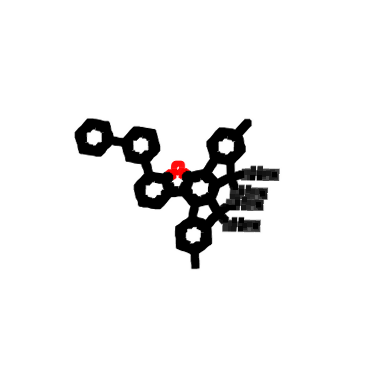 CCCCCCC1(CCCCCC)c2cc(C)ccc2-c2c1c1c(c3c2oc2c(-c4cccc(-c5ccccc5)c4)cccc23)-c2ccc(C)cc2C1(CCCCCC)CCCCCC